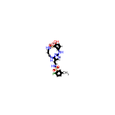 Cc1ccc(F)c(S(=O)(=O)NCCc2cnc3nc2NCCCNS(=O)(=O)c2cc(ccc2O)N3)c1